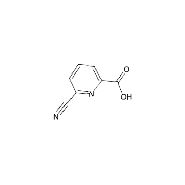 N#Cc1cccc(C(=O)O)n1